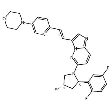 Fc1ccc(F)c([C@H]2C[C@H](F)CN2c2ccc3ncc(/C=C/c4ccc(N5CCOCC5)cn4)n3n2)c1